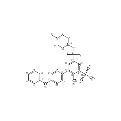 CN1CCN(CC(C)(C)c2cc(-c3ccc(Oc4ccccc4)cc3)c(C#N)c(S(=O)(=O)C(F)(F)F)n2)CC1